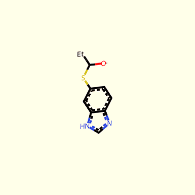 CCC([O])Sc1ccc2nc[nH]c2c1